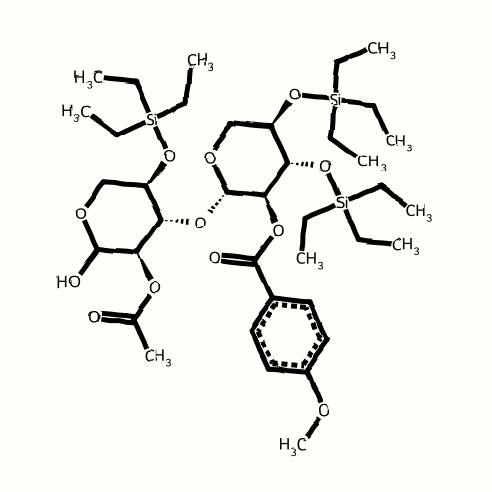 CC[Si](CC)(CC)O[C@@H]1[C@@H](OC(=O)c2ccc(OC)cc2)[C@H](O[C@H]2[C@H](O[Si](CC)(CC)CC)COC(O)[C@@H]2OC(C)=O)OC[C@H]1O[Si](CC)(CC)CC